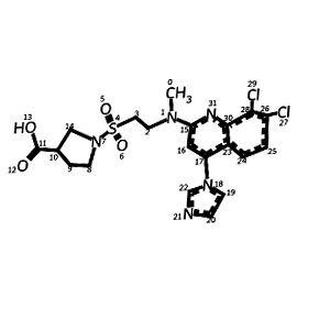 CN(CCS(=O)(=O)N1CCC(C(=O)O)C1)c1cc(-n2ccnc2)c2ccc(Cl)c(Cl)c2n1